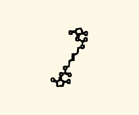 O=C(OCCSSCCOC(=O)ON1C(=O)CCC1=O)ON1C(=O)CCC1=O